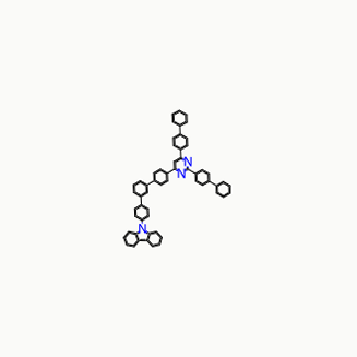 c1ccc(-c2ccc(-c3cc(-c4ccc(-c5cccc(-c6ccc(-n7c8ccccc8c8ccccc87)cc6)c5)cc4)nc(-c4ccc(-c5ccccc5)cc4)n3)cc2)cc1